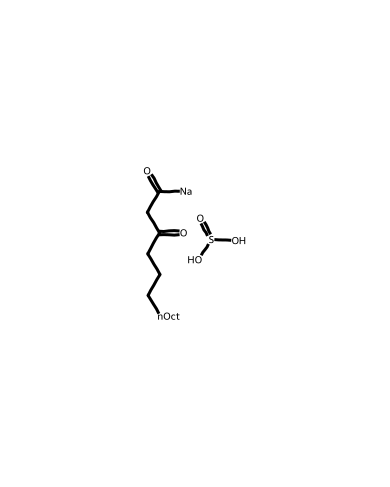 CCCCCCCCCCCC(=O)C[C](=O)[Na].O=S(O)O